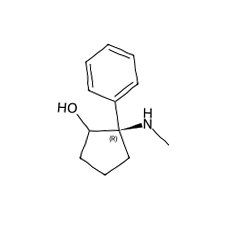 CN[C@@]1(c2ccccc2)CCCC1O